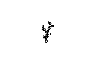 CN1CCC(F)(N(C)c2ccc(S(=O)(=O)NC(=O)c3ccc(C4=CCN(CC5=C(c6ccc(Cl)cc6)CC(C)(C)CC5)CC4)cc3Oc3cnc4[nH]ccc4c3)cc2[N+](=O)[O-])CC1